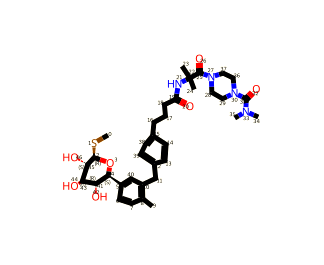 CS[C@H]1O[C@@H](c2ccc(C)c(Cc3ccc(CCCC(=O)NC(C)(C)C(=O)N4CCN(C(=O)N(C)C)CC4)cc3)c2)[C@H](O)[C@@H](O)[C@@H]1O